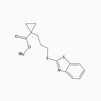 CC(C)(C)OC(=O)C1(CCCSc2nc3ccccc3s2)CC1